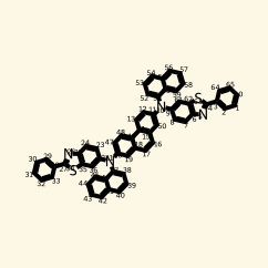 c1ccc(-c2nc3ccc(N(c4ccc5c(ccc6cc(N(c7ccc8nc(-c9ccccc9)sc8c7)c7cccc8ccccc78)ccc65)c4)c4cccc5ccccc45)cc3s2)cc1